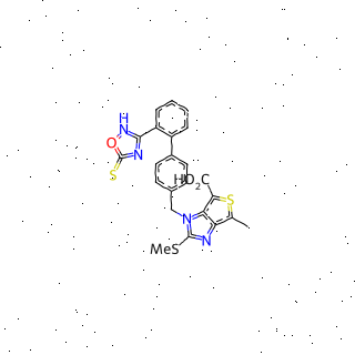 CSc1nc2c(C)sc(C(=O)O)c2n1Cc1ccc(-c2ccccc2-c2nc(=S)o[nH]2)cc1